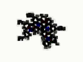 CC(C)c1ccc2c(c1)c1cc(C(C)C)ccc1n2-c1ccc2c(c1)N(c1c(-c3ccccc3)cc(C(C)(C)C)cc1-c1ccccc1)c1cccc3c1B2c1ccc(-n2c4ccccc4c4c5c(ccc42)=C=5)cc1N3c1c(-c2ccccc2)cc(C(C)(C)C)cc1-c1ccccc1